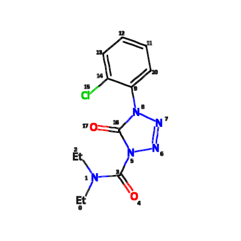 CCN(CC)C(=O)n1nnn(-c2ccccc2Cl)c1=O